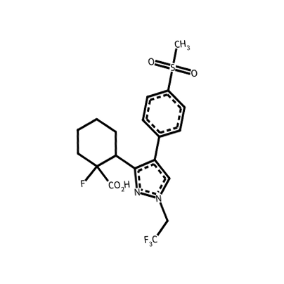 CS(=O)(=O)c1ccc(-c2cn(CC(F)(F)F)nc2C2CCCCC2(F)C(=O)O)cc1